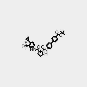 CC(C)(C)OC(=O)c1ccc(-c2ccc(NC(=O)[C@H]3CCCN3C(=O)Nc3ccc(C4CC4)c(C(F)(F)F)c3)cc2)cc1